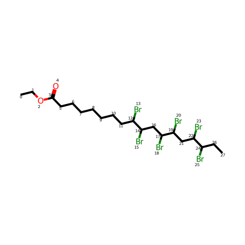 CCOC(=O)CCCCCCCC(Br)C(Br)CC(Br)C(Br)CC(Br)C(Br)CC